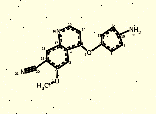 COc1cc2c(Oc3ccc(N)cc3)ccnc2cc1C#N